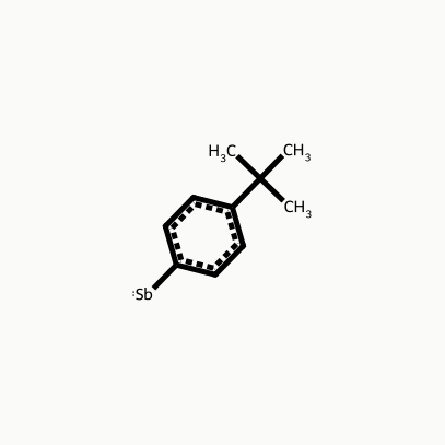 CC(C)(C)c1cc[c]([Sb])cc1